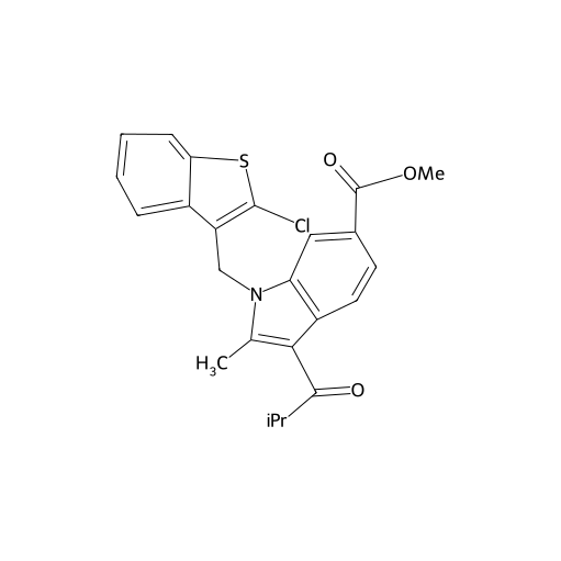 COC(=O)c1ccc2c(C(=O)C(C)C)c(C)n(Cc3c(Cl)sc4ccccc34)c2c1